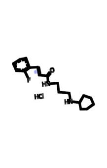 Cl.O=C(/C=C/c1ccccc1F)NCCCNC1CCCCC1